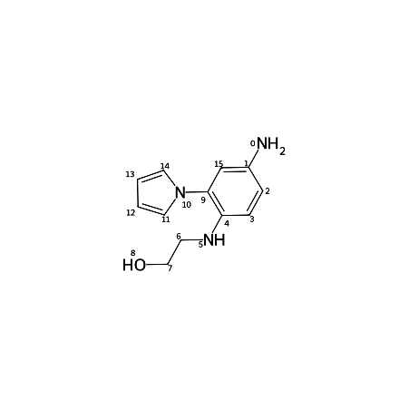 Nc1ccc(NCCO)c(-n2cccc2)c1